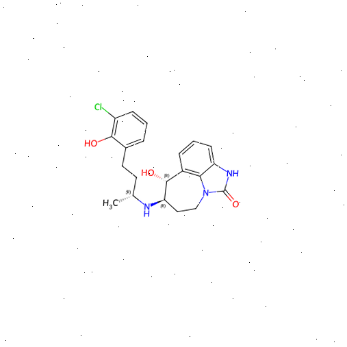 C[C@H](CCc1cccc(Cl)c1O)N[C@@H]1CCn2c(=O)[nH]c3cccc(c32)[C@H]1O